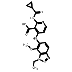 CCn1nnc2ccc(Nc3ccnc(NC(=O)C4CC4)c3C(=O)O)c(OC)c21